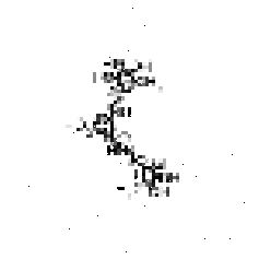 C[C@@H]1O[C@@H](OCCNC(=O)CN(CC(=O)O)CC(=O)NCCO[C@@H]2O[C@@H](C)[C@@H](O)[C@@H](O)[C@@H]2O)[C@@H](O)[C@H](O)[C@@H]1O